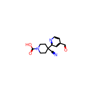 N#CC1(c2cc(C=O)ccn2)CCN(C(=O)O)CC1